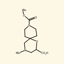 CC(C)(C)OC(=O)N1CCC2(CC1)CN(C(C)(C)C)CC(C(=O)O)O2